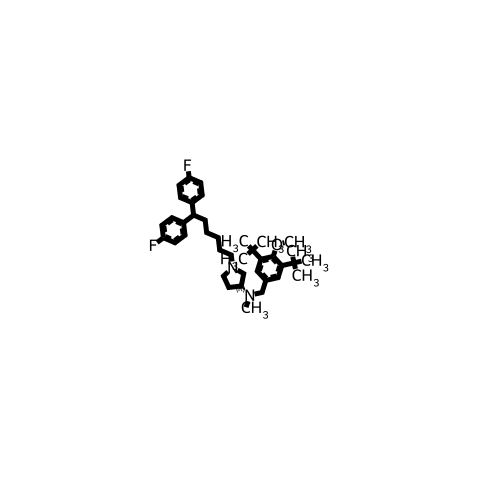 COc1c(C(C)(C)C)cc(CN(C)[C@@H]2CCN(CCCCCC(c3ccc(F)cc3)c3ccc(F)cc3)C2)cc1C(C)(C)C